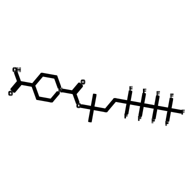 CC(C)(CCC(F)(F)C(F)(F)C(F)(F)C(F)(F)F)OC(=O)N1CCC(C(=O)O)CC1